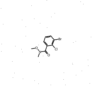 CON(C)C(=O)c1cccc(Br)c1Cl